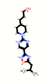 CC(C)Cc1nc(-c2cnc(N3CCC(CCCO)CC3)nc2)no1